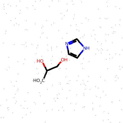 O=C(O)C(O)CO.c1c[nH]cn1